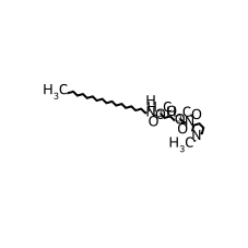 CCCCCCCCCCCCCCCCCCNC(=O)OCC(COC(=O)N(C(C)=O)C1CCCN(CC)C1)OC